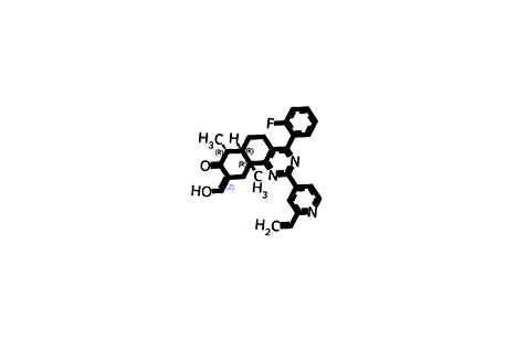 C=Cc1cc(-c2nc(-c3ccccc3F)c3c(n2)[C@]2(C)C/C(=C/O)C(=O)[C@H](C)[C@H]2CC3)ccn1